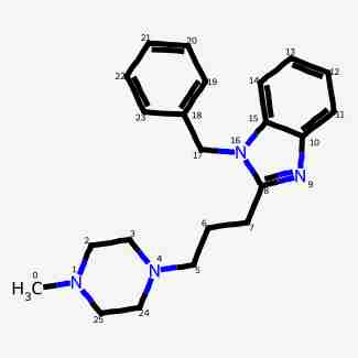 CN1CCN(CCCc2nc3ccccc3n2Cc2ccccc2)CC1